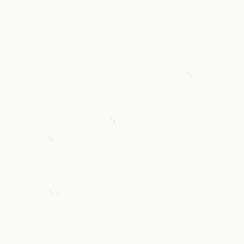 CC(C)=CC(C)(N)COc1cnc(-c2ccnc(OC(N)=O)c2)cc1C(F)(F)F